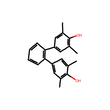 Cc1cc(-c2[c]cccc2-c2cc(C)c(O)c(C)c2)cc(C)c1O